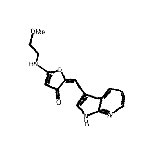 COCCNC1=CC(=O)/C(=C\c2c[nH]c3ncccc23)O1